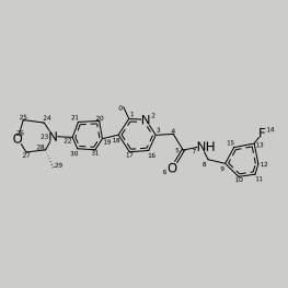 Cc1nc(CC(=O)NCc2cccc(F)c2)ccc1-c1ccc(N2CCOC[C@H]2C)cc1